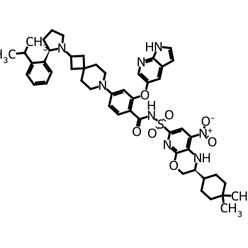 CC(C)c1ccccc1[C@H]1CCCN1C1CC2(CCN(c3ccc(C(=O)NS(=O)(=O)c4cc([N+](=O)[O-])c5c(n4)OC[C@H](C4CCC(C)(C)CC4)N5)c(Oc4cnc5[nH]ccc5c4)c3)CC2)C1